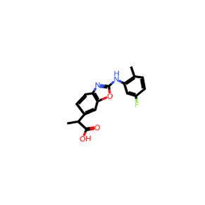 Cc1ccc(F)cc1Nc1nc2ccc(C(C)C(=O)O)cc2o1